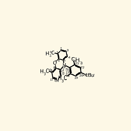 Cc1cccc2c1Oc1c(C)cncc1N2c1c(C)cc(C(C)(C)C)cc1C